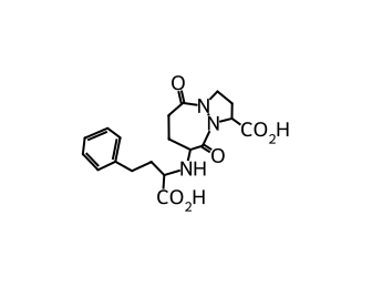 O=C(O)C(CCc1ccccc1)NC1CCC(=O)N2CCC(C(=O)O)N2C1=O